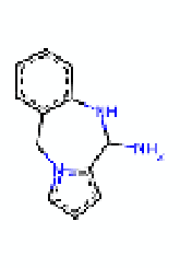 NC1Nc2ccccc2Cn2cccc21